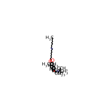 CCCCCCCC/C=C/CCCCCCCC(=O)O[C@H]1CC[C@@]2(C)[C@@H](CC[C@@H]3[C@@H]2CC[C@]2(C)[C@@H]([C@H](C)/C=C(\C)[C@H](C)C(C)C)CC[C@@H]32)[C@@H]1C